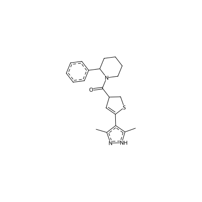 Cc1n[nH]c(C)c1C1=CC(C(=O)N2CCCCC2c2ccccc2)CS1